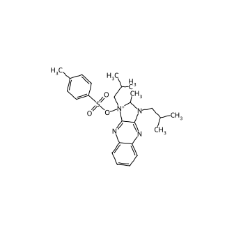 Cc1ccc(S(=O)(=O)O[N+]2(CC(C)C)c3nc4ccccc4nc3N(CC(C)C)C2C)cc1